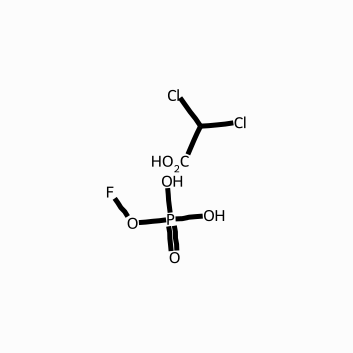 O=C(O)C(Cl)Cl.O=P(O)(O)OF